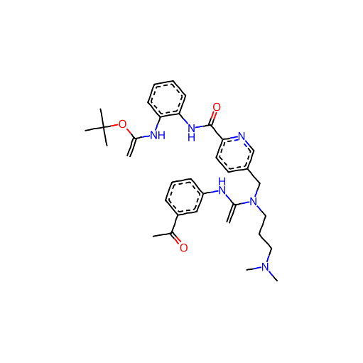 C=C(Nc1ccccc1NC(=O)c1ccc(CN(CCCN(C)C)C(=C)Nc2cccc(C(C)=O)c2)cn1)OC(C)(C)C